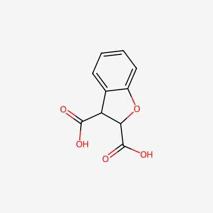 O=C(O)C1Oc2ccccc2C1C(=O)O